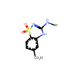 CCOC(=O)c1ccc2c(c1)NC(NC(C)C)=NS2(=O)=O